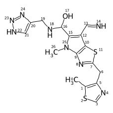 Cc1scnc1Cc1nc2c(s1)c(C=N)c(C(O)NCc1c[nH]nn1)n2C